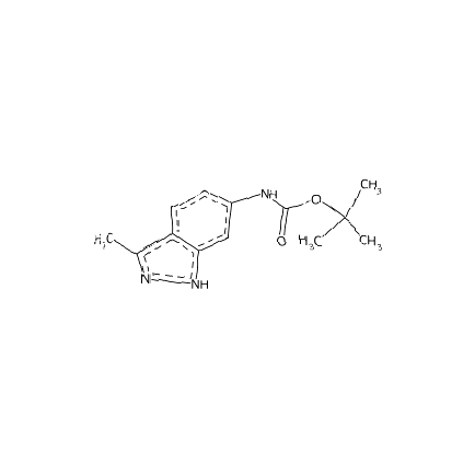 Cc1n[nH]c2cc(NC(=O)OC(C)(C)C)ccc12